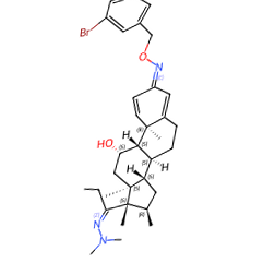 CC/C(=N/N(C)C)[C@@]1(C)[C@H](C)C[C@H]2[C@@H]3CCC4=C/C(=N/OCc5cccc(Br)c5)C=C[C@]4(C)[C@H]3[C@@H](O)C[C@@]21C